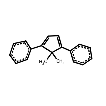 CC1(C)C(c2ccccc2)=CC=C1c1ccccc1